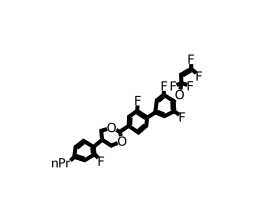 CCCc1ccc(C2COC(c3ccc(-c4cc(F)c(OC(F)(F)C=C(F)F)c(F)c4)c(F)c3)OC2)c(F)c1